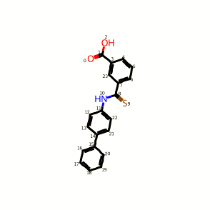 O=C(O)c1cccc(C(=S)Nc2ccc(-c3ccccc3)cc2)c1